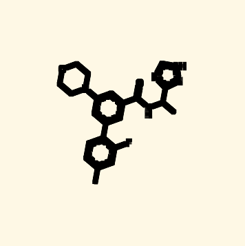 Cc1ccc(-c2cc(C(=O)NC(C)c3nc[nH]n3)cc(N3CCOCC3)c2)c(F)c1